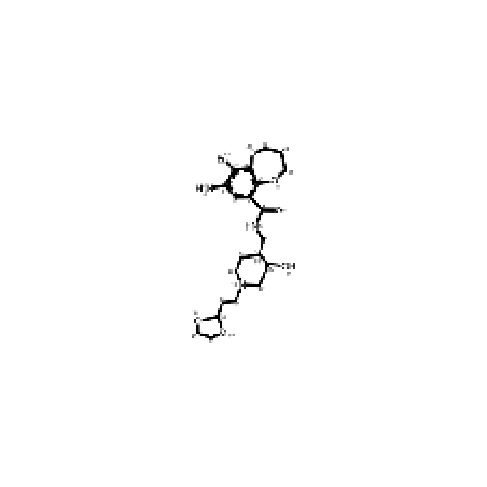 Nc1cc(C(=O)NC[C@@H]2CCN(CCC3OCCO3)CC2O)c2c(c1Br)OCCCO2